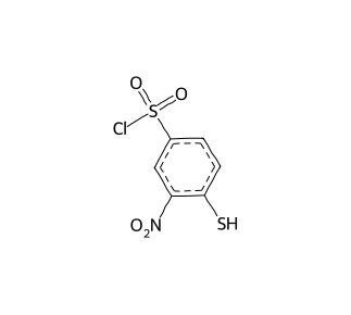 O=[N+]([O-])c1cc(S(=O)(=O)Cl)ccc1S